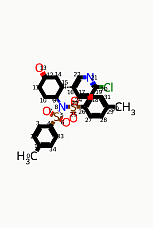 Cc1ccc(S(=O)(=O)N([C@H]2CCC(=O)C[C@@H]2c2ccc(Cl)nc2)S(=O)(=O)c2ccc(C)cc2)cc1